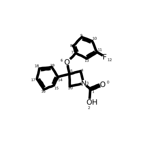 O=C(O)N1CC(Oc2cccc(F)c2)(c2ccccc2)C1